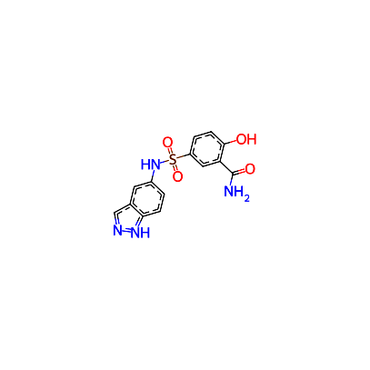 NC(=O)c1cc(S(=O)(=O)Nc2ccc3[nH]ncc3c2)ccc1O